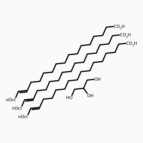 CCCCCCCCC=CCCCCCCCCCCCCCC(=O)O.CCCCCCCCC=CCCCCCCCCCCCCCC(=O)O.CCCCCCCCC=CCCCCCCCCCCCCCC(=O)O.OCC(O)CO